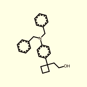 OCCC1(c2ccc(N(Cc3ccccc3)Cc3ccccc3)cc2)CCC1